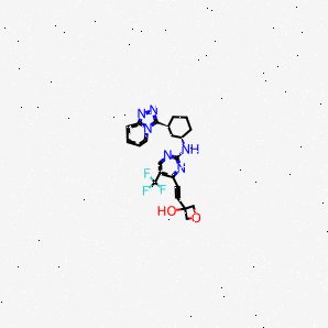 OC1(C#Cc2nc(N[C@@H]3CCC[C@H](c4nnc5ccccn45)C3)ncc2C(F)(F)F)COC1